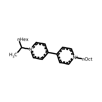 CCCCCCCC[n+]1ccc(-c2cc[n+](C(C)CCCCCC)cc2)cc1